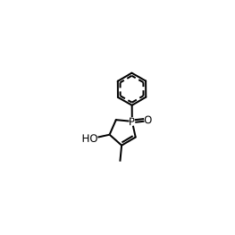 CC1=CP(=O)(c2ccccc2)CC1O